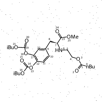 CCCCC(=O)OCCN[C@@H](Cc1ccc(OC(=O)OCC(C)C)c(OC(=O)OCC(C)C)c1)C(=O)OC